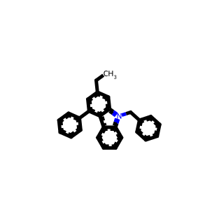 CCc1cc(-c2ccccc2)c2c3ccccc3n(Cc3ccccc3)c2c1